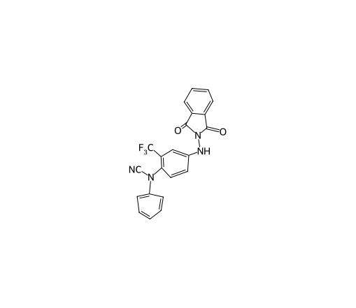 N#CN(c1ccccc1)c1ccc(NN2C(=O)c3ccccc3C2=O)cc1C(F)(F)F